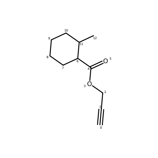 C#CCOC(=O)C1CCCCC1C